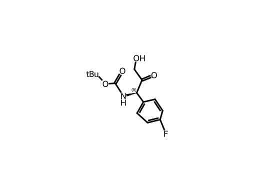 CC(C)(C)OC(=O)N[C@@H](C(=O)CO)c1ccc(F)cc1